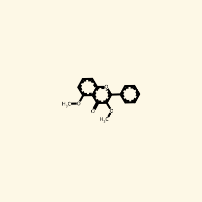 COc1c(-c2ccccc2)oc2cccc(OC)c2c1=O